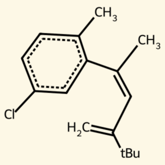 C=C(/C=C(/C)c1cc(Cl)ccc1C)C(C)(C)C